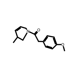 COc1ccc(CC(=O)N2CC=CC(C)C2)cc1